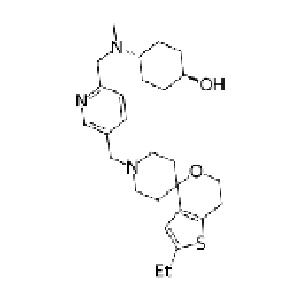 CCc1cc2c(s1)CCOC21CCN(Cc2ccc(CN(C)[C@H]3CC[C@H](O)CC3)nc2)CC1